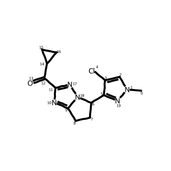 Cn1cc(Cl)c(C2CCc3nc(C(=O)C4CC4)nn32)n1